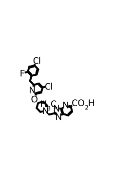 Cn1c(CN2CCC(Oc3cc(Cl)cc(Cc4ccc(Cl)cc4F)n3)CC2)nc2ccc(C(=O)O)nc21